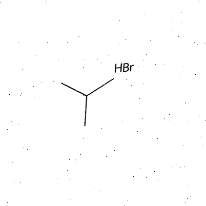 Br.CC(C)C